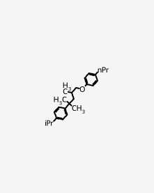 CCCc1ccc(OCC(C)CC(C)(C)c2ccc(C(C)C)cc2)cc1